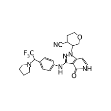 N#CC1CCOCC1n1nc(Nc2ccc(C(N3CCCC3)C(F)(F)F)cc2)c2c(=O)[nH]ccc21